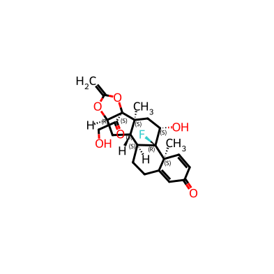 C=C1O[C@@H]2C[C@H]3[C@@H]4CCC5=CC(=O)C=C[C@]5(C)[C@@]4(F)[C@@H](O)C[C@]3(C)[C@]2(C(=O)CO)O1